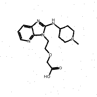 CN1CCC(Nc2nc3cccnc3n2CCOCC(=O)O)CC1